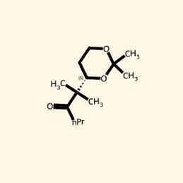 CCCC(=O)C(C)(C)[C@@H]1CCOC(C)(C)O1